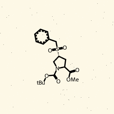 COC(=O)C1C[C@@H](S(=O)(=O)Cc2ccccc2)CN1C(=O)OC(C)(C)C